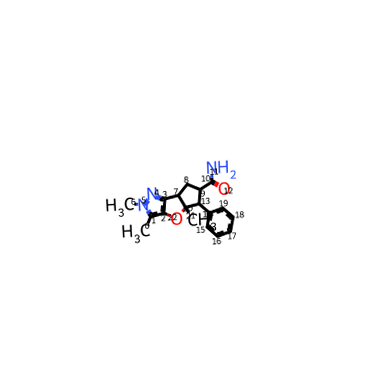 Cc1c2c(nn1C)C1CC(C(N)=O)C(c3ccccc3)C1(C)O2